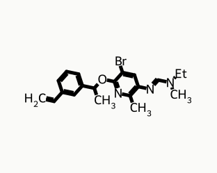 C=Cc1cccc(C(C)Oc2nc(C)c(/N=C/N(C)CC)cc2Br)c1